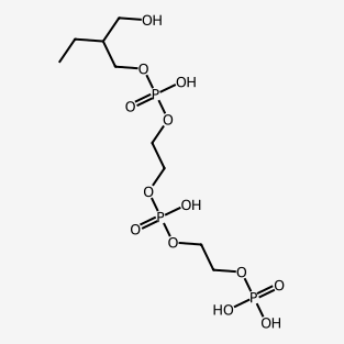 CCC(CO)COP(=O)(O)OCCOP(=O)(O)OCCOP(=O)(O)O